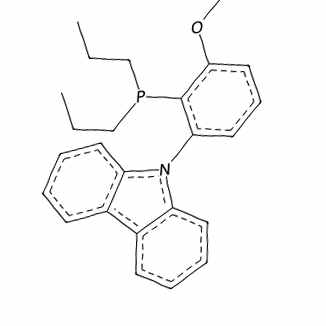 CCCP(CCC)c1c(OC)cccc1-n1c2ccccc2c2ccccc21